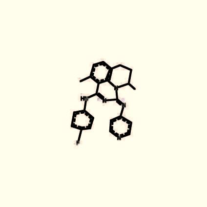 Cc1ccccc1/C(=N\C(=N/c1ccncc1)N1CCCCC1C)Nc1ccc(F)cc1